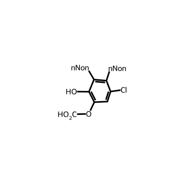 CCCCCCCCCc1c(Cl)cc(OC(=O)O)c(O)c1CCCCCCCCC